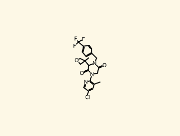 Cc1cc(Cl)cnc1N1CC(=O)N(Cc2ccc(C(F)(F)F)cc2)C(C2(C)COC2)C1=O